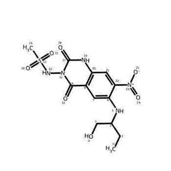 CCC(CO)Nc1cc2c(=O)n(NS(C)(=O)=O)c(=O)[nH]c2cc1[N+](=O)[O-]